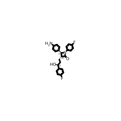 Nc1ccc([C@@H]2[C@@H](CC[C@H](O)c3ccc(F)cc3)C(=O)N2c2ccc(F)cc2)cc1